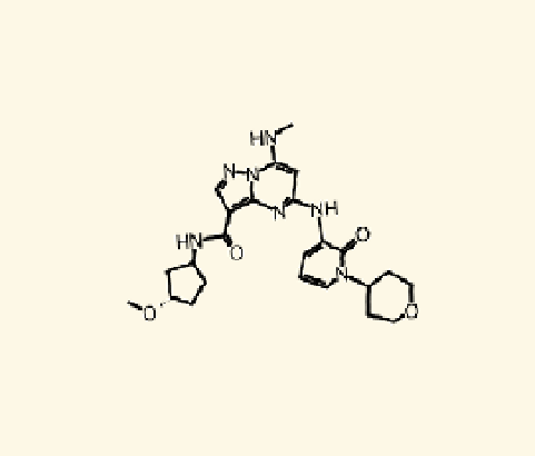 CNc1cc(Nc2cccn(C3CCOCC3)c2=O)nc2c(C(=O)N[C@H]3CC[C@H](OC)C3)cnn12